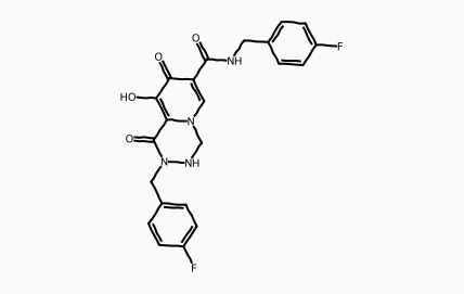 O=C(NCc1ccc(F)cc1)c1cn2c(c(O)c1=O)C(=O)N(Cc1ccc(F)cc1)NC2